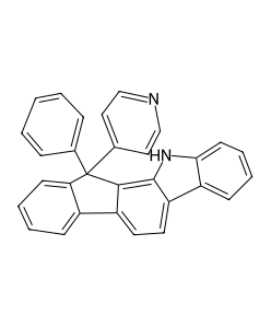 c1ccc(C2(c3ccncc3)c3ccccc3-c3ccc4c([nH]c5ccccc54)c32)cc1